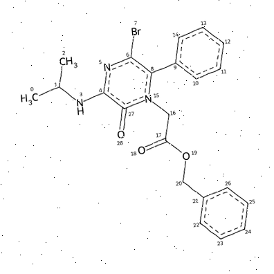 CC(C)Nc1nc(Br)c(-c2ccccc2)n(CC(=O)OCc2ccccc2)c1=O